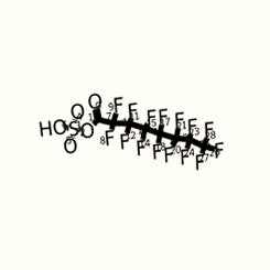 O=C(OS(=O)(=O)O)C(F)(F)C(F)(F)C(F)(F)C(F)(F)C(F)(F)C(F)(F)C(F)(F)F